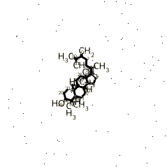 C=C(CC[C@@H](C)[C@H]1CC[C@@]2(C)[C@@H]3CC[C@H]4C(C)(C)[C@@H](O)CC[C@@]45C[C@@]35CC[C@]12C)C(C)C